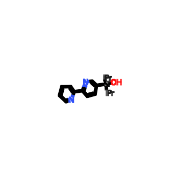 CC(C)[Si](O)(c1ccc(-c2ccccn2)nc1)C(C)C